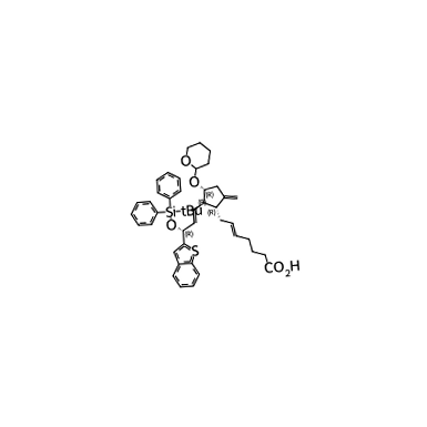 C=C1C[C@@H](OC2CCCCO2)[C@H](C=C[C@@H](O[Si](c2ccccc2)(c2ccccc2)C(C)(C)C)c2cc3ccccc3s2)[C@H]1CC=CCCCC(=O)O